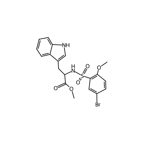 COC(=O)C(Cc1c[nH]c2ccccc12)NS(=O)(=O)c1cc(Br)ccc1OC